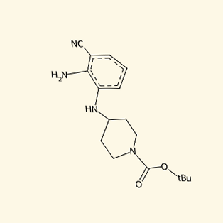 CC(C)(C)OC(=O)N1CCC(Nc2cccc(C#N)c2N)CC1